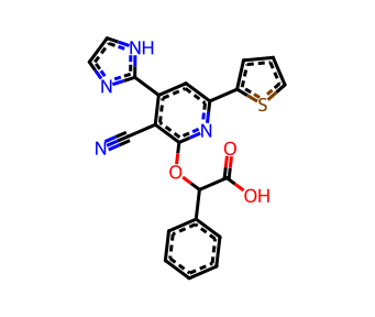 N#Cc1c(-c2ncc[nH]2)cc(-c2cccs2)nc1OC(C(=O)O)c1ccccc1